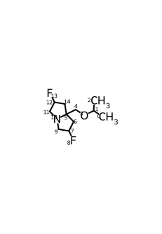 CC(C)OCC12CC(F)CN1CC(F)C2